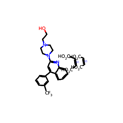 O=C(O)/C=C\C(=O)O.O=C(O)/C=C\C(=O)O.OCCN1CCN(c2cc(-c3cccc(C(F)(F)F)c3)c3ccccc3n2)CC1